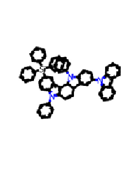 C1=CC2c3cc(-n4c5ccccc5c5ccccc54)ccc3N(c3ccccc3)C2c2c1n(-c1ccccc1)c1ccc([Si](c3ccccc3)(c3ccccc3)c3ccccc3)cc21